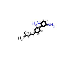 CC(C)CCCc1ccc(-c2cc(N)ccc2N)cc1